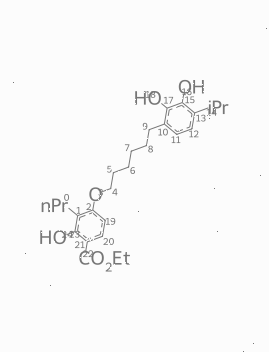 CCCc1c(OCCCCCCc2ccc(C(C)C)c(O)c2O)ccc(C(=O)OCC)c1O